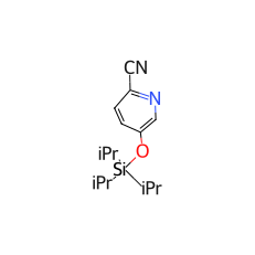 CC(C)[Si](Oc1ccc(C#N)nc1)(C(C)C)C(C)C